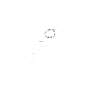 Nc1ccc([C@H]2CC[C@@H](N3CCOCC3)CC2)cc1